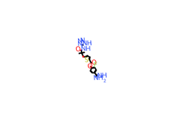 CC(C)(Cc1ccc(C(=O)Oc2ccc(C(=N)N)cc2F)s1)C(=O)Nc1nnn[nH]1